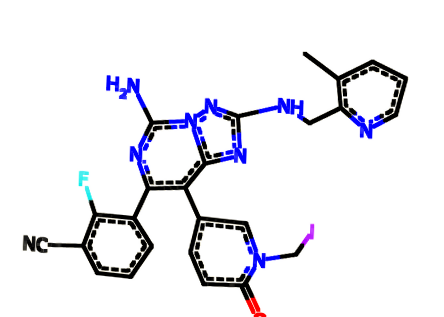 Cc1cccnc1CNc1nc2c(-c3ccc(=O)n(CI)c3)c(-c3cccc(C#N)c3F)nc(N)n2n1